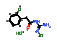 Cl.NC(=NCl)NC(=O)Cc1ccccc1Cl